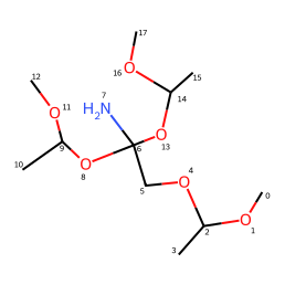 COC(C)OCC(N)(OC(C)OC)OC(C)OC